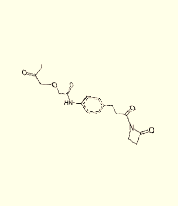 O=C(I)COCC(=O)Nc1ccc(CCC(=O)N2CCC2=O)cc1